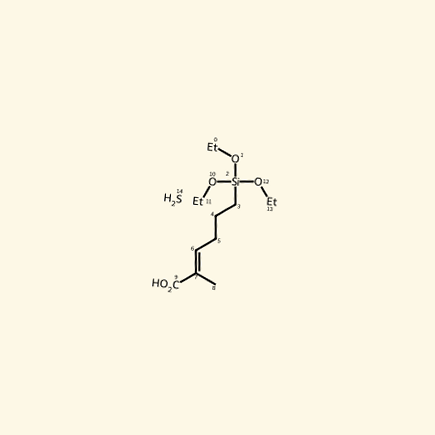 CCO[Si](CCCC=C(C)C(=O)O)(OCC)OCC.S